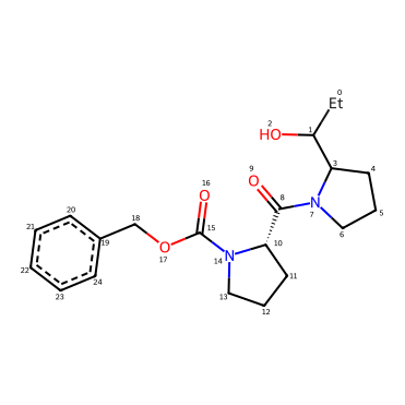 CCC(O)C1CCCN1C(=O)[C@@H]1CCCN1C(=O)OCc1ccccc1